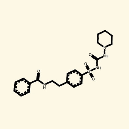 O=C(NN1CCCCC1)NS(=O)(=O)c1ccc(CCNC(=O)c2ccccc2)cc1